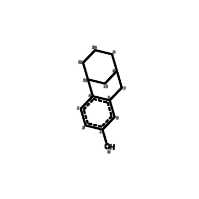 Oc1ccc2c(c1)CC1CCCC2C1